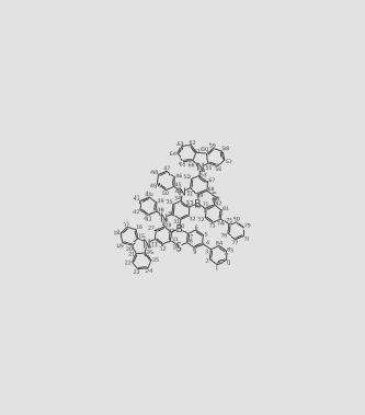 c1ccc(-c2ccc3c(c2)Sc2cc(-n4c5ccccc5c5ccccc54)cc4c2B3c2cc3c(cc2N4c2ccccc2)N(c2ccccc2)c2cc(-n4c5ccccc5c5ccccc54)cc4c2B3c2ccc(-c3ccccc3)cc2S4)cc1